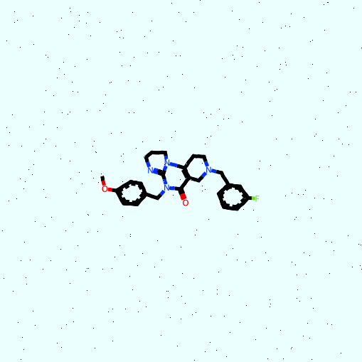 COc1ccc(CN2C(=O)C3=C(CCN(Cc4cccc(F)c4)C3)N3CCCN=C23)cc1